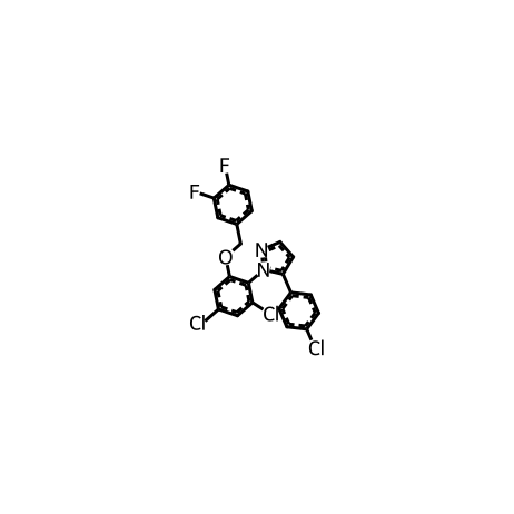 Fc1ccc(COc2cc(Cl)cc(Cl)c2-n2nccc2-c2ccc(Cl)cc2)cc1F